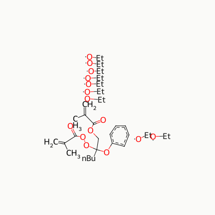 C=C(C)C(=O)OCC(CCCC)(OOC(=O)C(=C)C)Oc1ccccc1.[CH2]C[O].[CH2]C[O].[CH2]C[O].[CH2]C[O].[CH2]C[O].[CH2]C[O].[CH2]C[O].[CH2]C[O].[CH2]C[O]